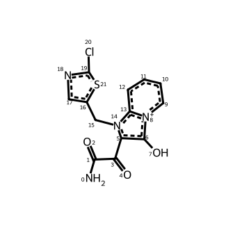 NC(=O)C(=O)c1c(O)[n+]2ccccc2n1Cc1cnc(Cl)s1